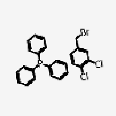 Clc1ccc(CBr)cc1Cl.c1ccc(P(c2ccccc2)c2ccccc2)cc1